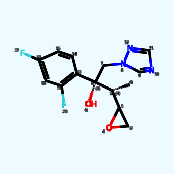 C[C@H](C1CO1)[C@](O)(Cn1cncn1)c1ccc(F)cc1F